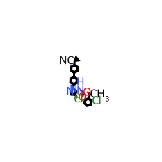 C[C@@H](OC(=O)Nc1c(Cl)cnn1-c1ccc(-c2ccc(C3(C#N)CC3)cc2)cc1)c1ccccc1Cl